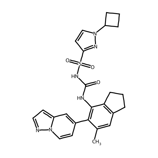 Cc1cc2c(c(NC(=O)NS(=O)(=O)c3ccn(C4CCC4)n3)c1-c1ccn3nccc3c1)CCC2